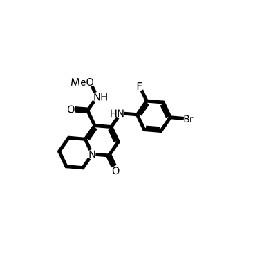 CONC(=O)c1c(Nc2ccc(Br)cc2F)cc(=O)n2c1CCCC2